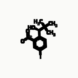 CC(C)(C)[C@H](O)c1ccc(I)cc1[N+](=O)[O-]